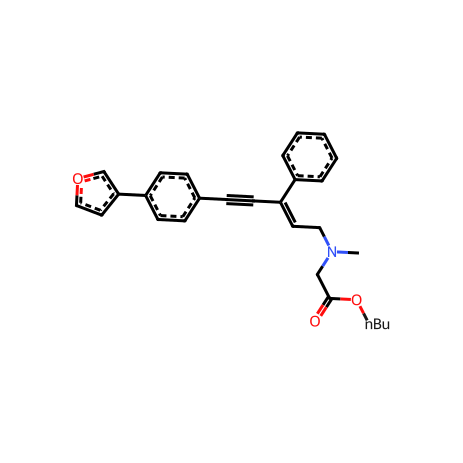 CCCCOC(=O)CN(C)CC=C(C#Cc1ccc(-c2ccoc2)cc1)c1ccccc1